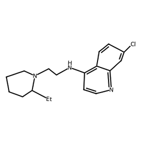 CCC1CCCCN1CCNc1ccnc2cc(Cl)ccc12